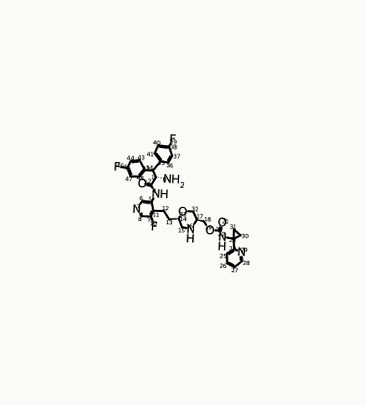 N[C@H](C(=O)Nc1cncc(F)c1CC[C@@H]1CN[C@H](COC(=O)NC2(c3ccccn3)CC2)CO1)C(c1ccc(F)cc1)c1ccc(F)cc1